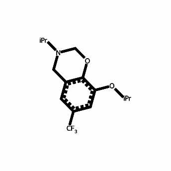 CC(C)Oc1cc(C(F)(F)F)cc2c1OCN(C(C)C)C2